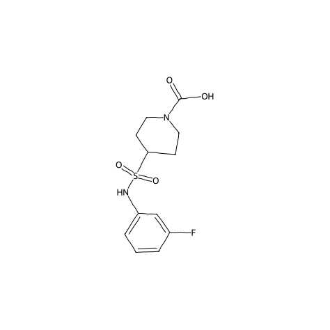 O=C(O)N1CCC(S(=O)(=O)Nc2cccc(F)c2)CC1